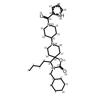 CCCCC1N(CC2CCCCC2)C(=O)OC12CCN(C1CCN(C(=O)c3ccc[nH]3)CC1)CC2